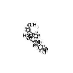 COc1ccc(NS(=O)(=O)c2ccc(NC(=O)c3ccc([N+](=O)[O-])cc3)c3ccccc23)cc1